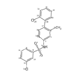 Cc1cc(NS(=O)(=O)c2cccc(Cl)c2)ncc1-c1ccccc1Cl